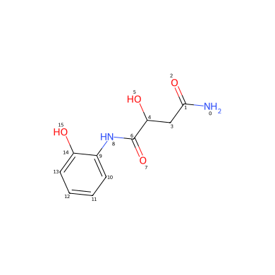 NC(=O)CC(O)C(=O)Nc1ccccc1O